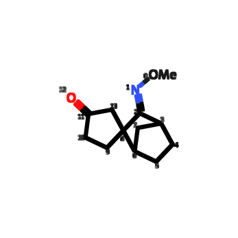 CON=C1C2CCC(C2)C12CCC(=O)C2